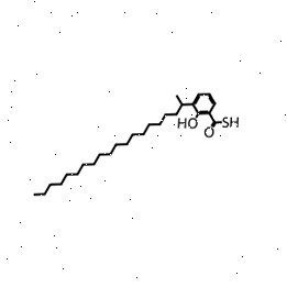 CCCCCCCCCCCCCCCCCCC(C)c1cccc(C(=O)S)c1O